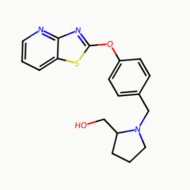 OCC1CCCN1Cc1ccc(Oc2nc3ncccc3s2)cc1